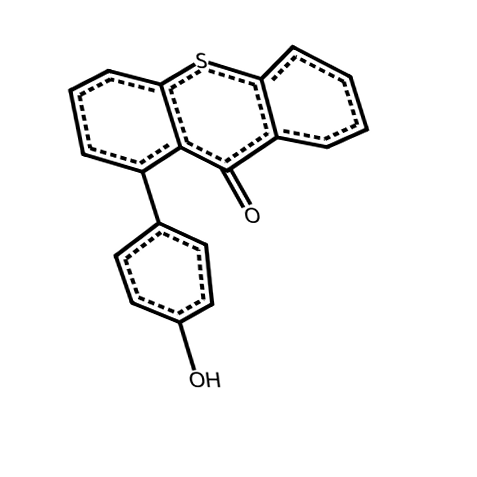 O=c1c2ccccc2sc2cccc(-c3ccc(O)cc3)c12